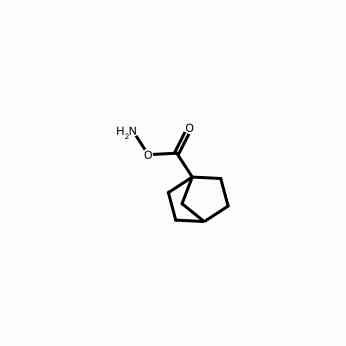 NOC(=O)C12CCC(CC1)C2